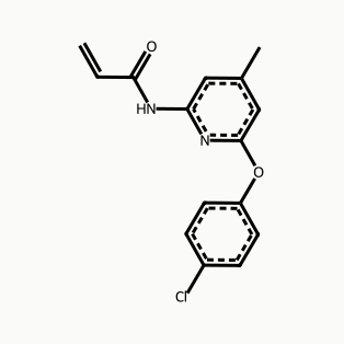 C=CC(=O)Nc1cc(C)cc(Oc2ccc(Cl)cc2)n1